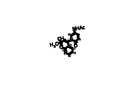 CC(=O)Nc1ccc(=O)n(C2=CC(C)(C)Oc3ncccc32)c1